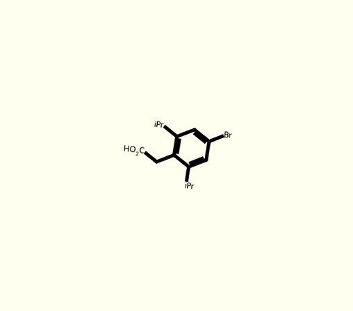 CC(C)c1cc(Br)cc(C(C)C)c1CC(=O)O